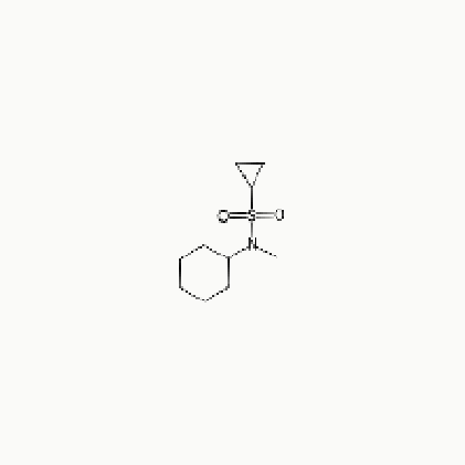 CN(C1CCCCC1)S(=O)(=O)C1CC1